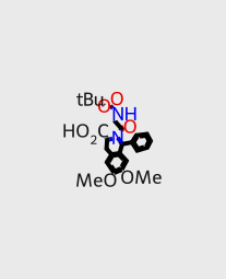 COc1cc2c(cc1OC)C(c1ccccc1)N(C(=O)CNC(=O)OC(C)(C)C)C(C(=O)O)C2